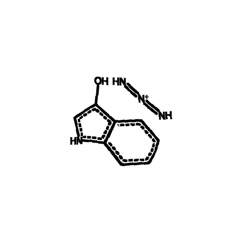 N=[N+]=N.Oc1c[nH]c2ccccc12